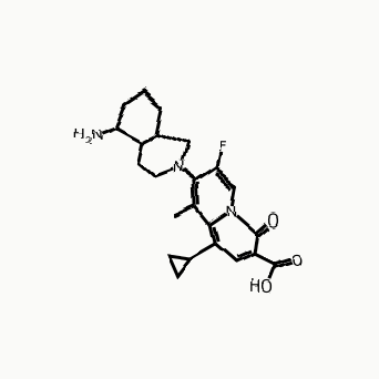 Cc1c(N2CCC3C(N)CCCC3C2)c(F)cn2c(=O)c(C(=O)O)cc(C3CC3)c12